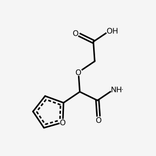 [NH]C(=O)C(OCC(=O)O)c1ccco1